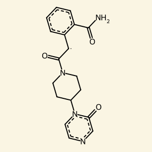 NC(=O)c1ccccc1[CH]C(=O)N1CCC(n2ccncc2=O)CC1